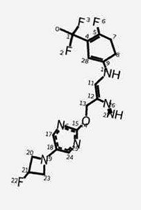 CC(F)(F)C1=C(F)CCC(N/C=C(/COc2ncc(N3CC(F)C3)cn2)N=N)=C1